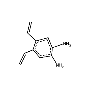 C=Cc1cc(N)c(N)cc1C=C